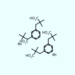 CC(C)(Cc1cccc(CC(C)(C)C(=O)O)c1)C(=O)O.CC(C)(Cc1cccc(CC(C)(C)C(=O)O)c1)C(=O)O.[Rh].[Rh]